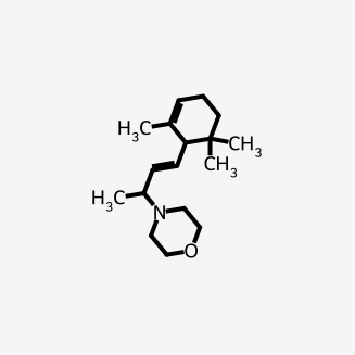 CC1=CCCC(C)(C)C1C=CC(C)N1CCOCC1